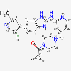 Cc1cc(-c2ccc3nc(Nc4cc(CN5CCN(C(=O)C6CC6)CC5)ccn4)[nH]c3c2)c(F)cn1